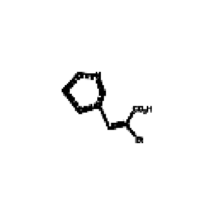 CC/C(=C/c1cccnc1)C(=O)O